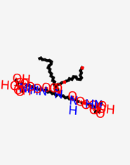 CCCCC/C=C\C/C=C\CCCCCCCCC1(CCCCCCCC/C=C\C/C=C\CCCCC)OC[C@H](CN(CCCCCC(=O)NCCOCCOCCO[C@@H]2OC(C)C(=O)C(O)C2NC(C)=O)CCCCCC(=O)NCCOCCOCCO[C@@H]2OC(CO)[C@H](O)C(O)C2NC(C)=O)O1